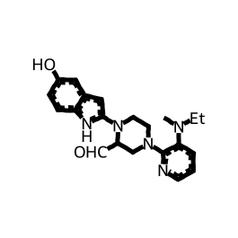 CCN(C)c1cccnc1N1CCN(c2cc3cc(O)ccc3[nH]2)C(C=O)C1